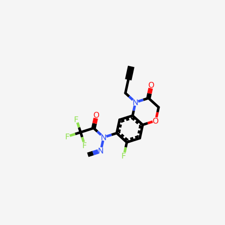 C#CCN1C(=O)COc2cc(F)c(N(N=C)C(=O)C(F)(F)F)cc21